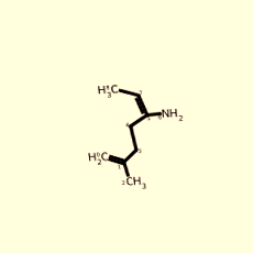 C=C(C)CC/C(N)=C\C